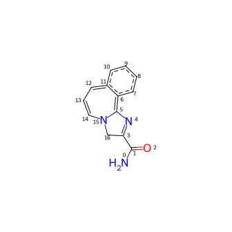 NC(=O)C1=NC2=c3ccccc3=CC=CN2C1